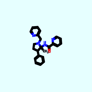 CC1(NC(=O)c2ccccn2)C(c2ccccc2)CCN1Cc1ccccn1